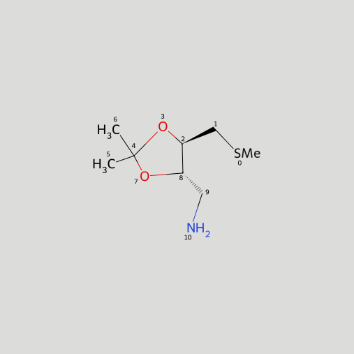 CSC[C@@H]1OC(C)(C)O[C@H]1CN